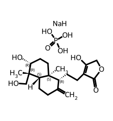 C=C1CC[C@@H]2[C@](C)(CO)[C@H](O)CC[C@@]2(C)[C@@H]1CCC1=C(O)COC1=O.O=P(O)(O)O.[NaH]